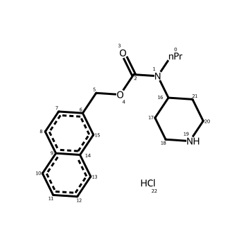 CCCN(C(=O)OCc1ccc2ccccc2c1)C1CCNCC1.Cl